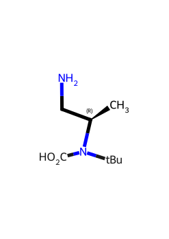 C[C@H](CN)N(C(=O)O)C(C)(C)C